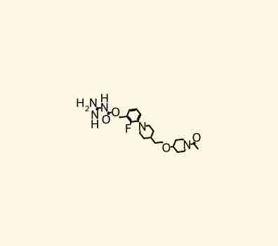 CC(=O)N1CCC(OCCC2CCN(c3cccc(COC(=O)NC(=N)N)c3F)CC2)CC1